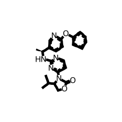 CC(C)C1COC(=O)N1c1ccnc(N[C@@H](C)c2ccc(Oc3ccccc3)nc2)n1